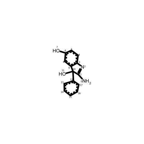 NC1=Nc2ccc(O)cc2C1(O)c1ccccc1